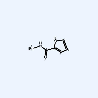 CCC(C)NC(=O)c1ccco1